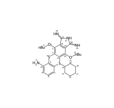 CCCCOc1c(Sc2ccccc2N)c(SC2CCCCC2)c(OCCCC)c2c1C(=N)NC2=N